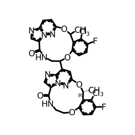 CC1Oc2ccc3ncc(n3n2)C(=O)NCC(c2cc3nn4c(cnc24)C(=O)NCCOc2ccc(F)c(Cl)c2[C@@H](C)O3)Oc2ccc(F)c(Cl)c21